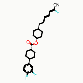 N#CC(F)=CC=CCC[C@H]1CC[C@H](OC(=O)[C@H]2CC[C@H](c3ccc(F)c(F)c3)CC2)CC1